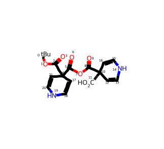 CC(C)(C)OC(=O)C1(C(=O)OC(=O)C2(C(=O)O)C=CNC=C2)C=CNC=C1